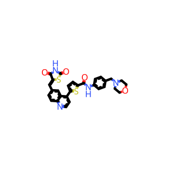 O=C1NC(=O)C(=Cc2ccc3nccc(-c4ccc(C(=O)Nc5ccc(CN6CCOCC6)cc5)s4)c3c2)S1